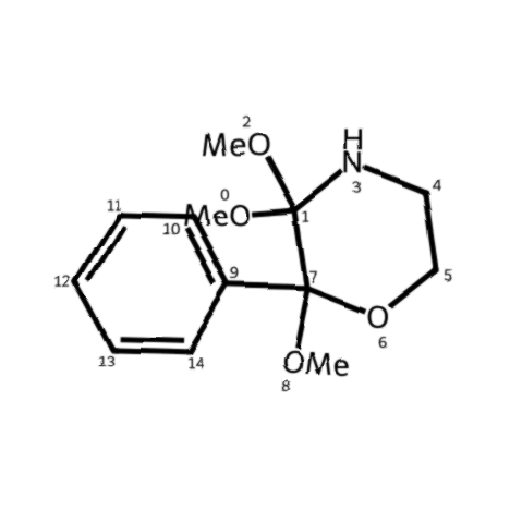 COC1(OC)NCCOC1(OC)c1ccccc1